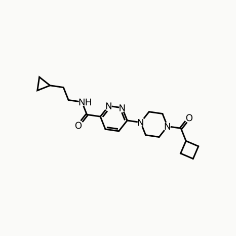 O=C(NCCC1CC1)c1ccc(N2CCN(C(=O)C3CCC3)CC2)nn1